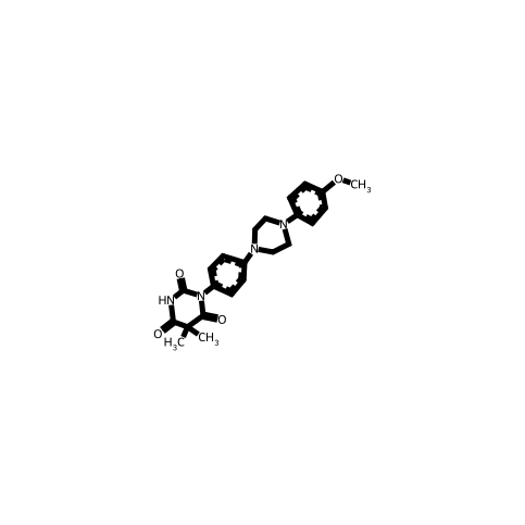 COc1ccc(N2CCN(c3ccc(N4C(=O)NC(=O)C(C)(C)C4=O)cc3)CC2)cc1